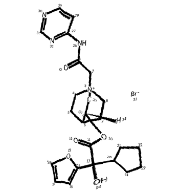 O=C(C[N+]12CCC(CC1)[C@@H](OC(=O)C(O)(c1ccco1)C1CCCC1)C2)Nc1ccncn1.[Br-]